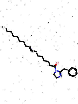 CCCCCCCC/C=C/CCCCCCC(=O)N1CCN=C1Cc1ccccc1